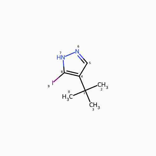 CC(C)(C)c1cn[nH]c1I